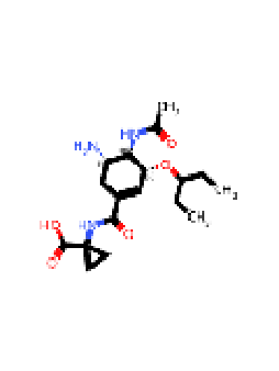 CCC(CC)O[C@@H]1C=C(C(=O)NC2(C(=O)O)CC2)C[C@H](N)[C@H]1NC(C)=O